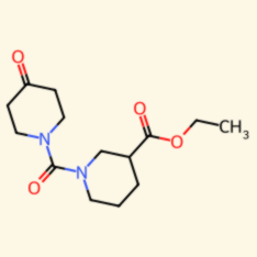 CCOC(=O)C1CCCN(C(=O)N2CCC(=O)CC2)C1